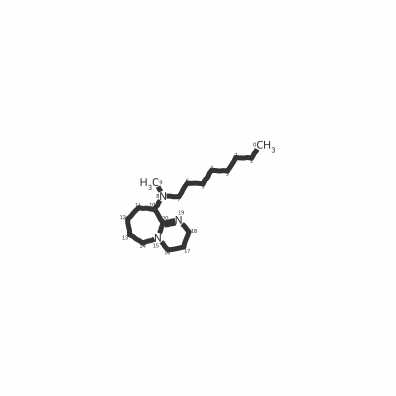 CCCCCCCCN(C)C1CCCCN2CCCN=C12